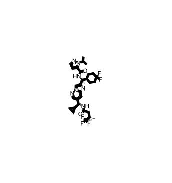 CC(C)n1nccc1C(=O)N[C@H](c1cn2ncc([C@H](NC(=O)C[C@H](C)C(F)(F)F)C3CC3)cc2n1)C1CCC(F)(F)CC1